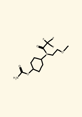 COCCN(C(=O)C(F)(F)F)C1CCC(OC(N)=O)CC1